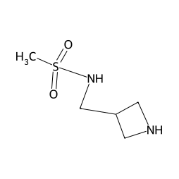 CS(=O)(=O)NCC1CNC1